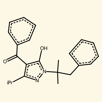 CC(C)c1nn(C(C)(C)Cc2ccccc2)c(O)c1C(=O)c1ccccc1